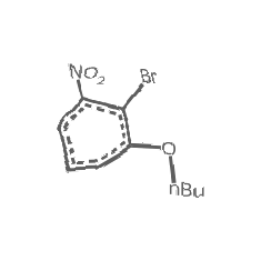 CCCCOc1cccc([N+](=O)[O-])c1Br